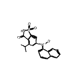 CC(C)c1cc([S+]([O-])c2cccc3ccccc23)cc2c1C(=O)NS2(=O)=O